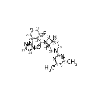 Cc1cc(C)nc(N2CC[C@H]3CN(C(=O)c4c(F)cccc4-n4nccn4)[C@H]3C2)n1